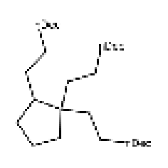 CCCCCCCCCCCCC1CCCC1(CCCCCCCCCCCC)CCCCCCCCCCCC